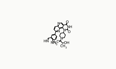 C=C([C@@H](C)O)N1CCC(n2c(=O)[nH]c(=O)c3cnc4ccc(-c5ccc(N)c(C=N)c5)nc4c32)CC1